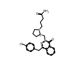 NC(=O)CCCN1CCC[C@@H]1Cn1nc(Cc2ccc(Cl)cc2)c2ccccc2c1=O